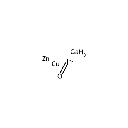 [Cu].[GaH3].[O]=[In].[Zn]